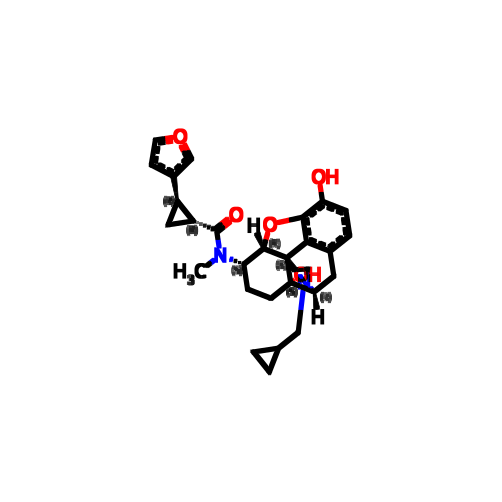 CN(C(=O)[C@@H]1C[C@H]1c1ccoc1)[C@H]1CC[C@@]2(O)[C@H]3Cc4ccc(O)c5c4[C@@]2(CCN3CC2CC2)[C@H]1O5